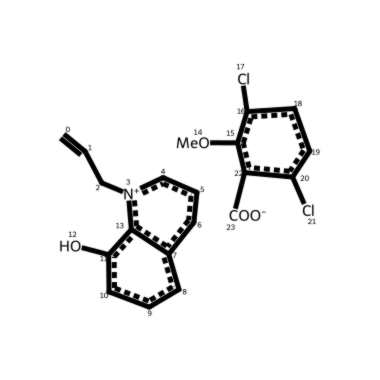 C=CC[n+]1cccc2cccc(O)c21.COc1c(Cl)ccc(Cl)c1C(=O)[O-]